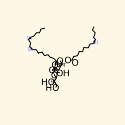 CCCC/C=C\CCCCCCCC(=O)OC[C@H](COP(=O)(O)OC[C@@H](O)CO)OC(=O)CCCCCCC/C=C\C/C=C\CCCCC